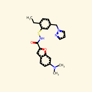 CCc1ccc(Cn2cccn2)cc1SNC(=O)c1cc2ccc(N(C)C)cc2o1